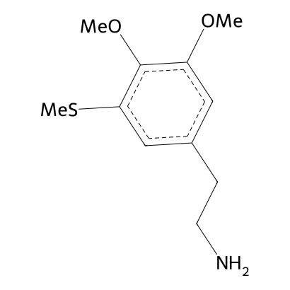 COc1cc(CCN)cc(SC)c1OC